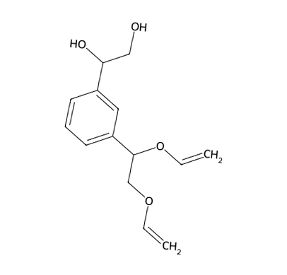 C=COCC(OC=C)c1cccc(C(O)CO)c1